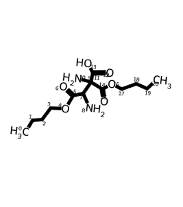 CCCCOC(=O)C(N)C(N)(C(=O)O)C(=O)OCCCC